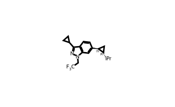 CC(C)[C@H]1C[C@@H]1c1ccc2c(C3CC3)nn(CC(F)(F)F)c2c1